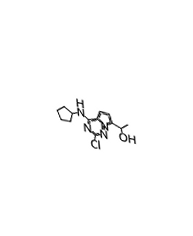 CC(O)c1ccc2c(NC3CCCC3)nc(Cl)nn12